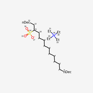 CCCCCCCCCCCCCCCCCCCCC(CCCCCCCCCCC)S(=O)(=O)[O-].CC[N+](CC)(CC)CC